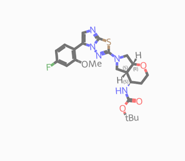 COc1cc(F)ccc1-c1cnc2sc(N3C[C@H]4[C@@H](NC(=O)OC(C)(C)C)CCO[C@H]4C3)nn12